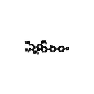 Cc1cc(N(CCO)C(C)C)nc2ccc(-c3ccc(-c4ccc(Cl)cc4)cn3)cc12